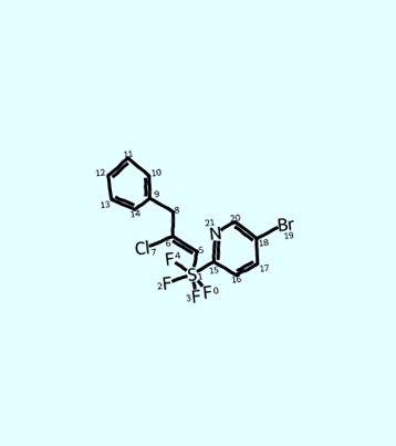 FS(F)(F)(F)(C=C(Cl)Cc1ccccc1)c1ccc(Br)cn1